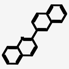 c1ccc2cc(-c3ccc4ccccc4n3)ccc2c1